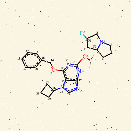 F[C@H]1CN2CCC[C@@]2(COc2nc(OCc3ccccc3)c3c(ncn3C3CCC3)n2)C1